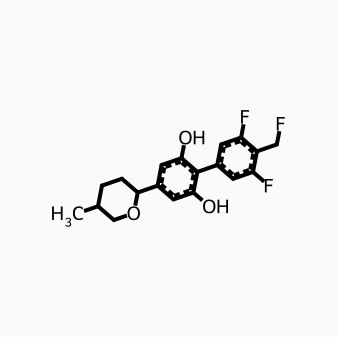 CC1CCC(c2cc(O)c(-c3cc(F)c(CF)c(F)c3)c(O)c2)OC1